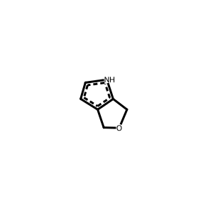 c1cc2c([nH]1)COC2